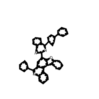 c1ccc(-c2ccc(-c3nc(-c4cc5c(-c6ccccc6)nc6ccccc6c5c5c4oc4ccccc45)nc4ccccc34)cc2)cc1